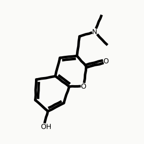 CN(C)Cc1cc2ccc(O)cc2oc1=O